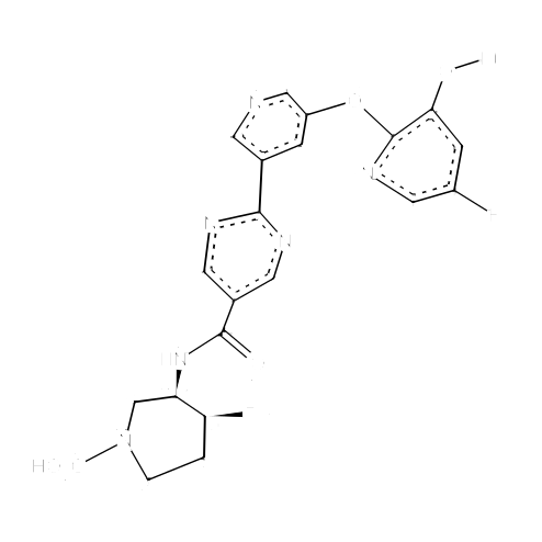 CCOc1cc(F)cnc1Oc1cncc(-c2ncc(C(=O)N[C@@H]3CN(C(=O)O)CC[C@@H]3F)cn2)c1